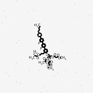 C=C(C)C(=O)OCCCc1cc(-c2ccc(-c3ccc(C4CCC(CCCCC)CC4)cc3F)cc2F)ccc1OCC(COC(=O)CC(=O)OC)(COC(=O)CC(=O)OC)COC(=O)C(=C)C